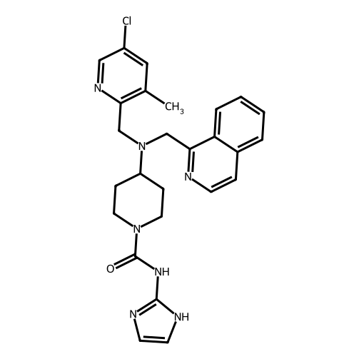 Cc1cc(Cl)cnc1CN(Cc1nccc2ccccc12)C1CCN(C(=O)Nc2ncc[nH]2)CC1